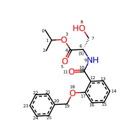 CC(C)OC(=O)[C@H](CO)NC(=O)c1ccccc1OCc1ccccc1